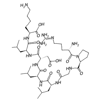 CC(C)C[C@H](NC(=O)CNC(=O)[C@@H]1CCCN1C(=O)[C@@H](N)CCCN=C(N)N)C(=O)N[C@@H](CC(C)C)C(=O)N[C@@H](CC(=O)O)C(=O)N[C@@H](CC(C)C)C(=O)N[C@@H](CCCCN)C(=O)O